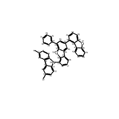 Cc1ccc2c(c1)c1cc(C)ccc1n2-c1cccc2c1oc1c(-c3ccccc3)cc(-c3cccc4oc5ccccc5c34)cc12